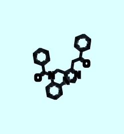 O=C(Cc1ncn2c1CN(C(=O)c1ccccc1)c1ccccc1-2)c1ccccc1